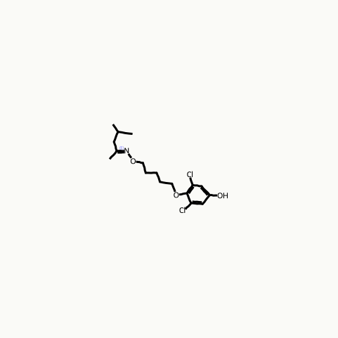 C/C(CC(C)C)=N\OCCCCCOc1c(Cl)cc(O)cc1Cl